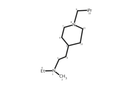 CCN(C)CCC1CCN(CC(C)C)CC1